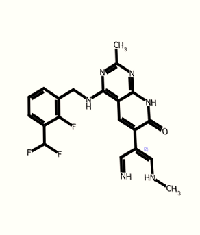 CN/C=C(\C=N)c1cc2c(NCc3cccc(C(F)F)c3F)nc(C)nc2[nH]c1=O